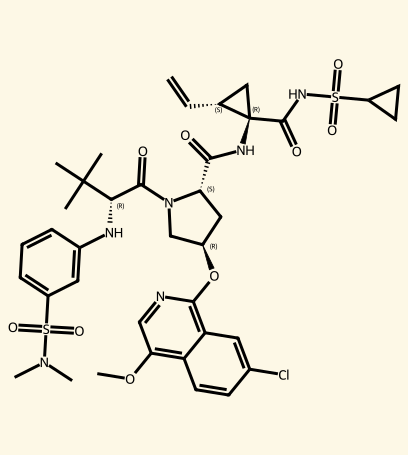 C=C[C@@H]1C[C@]1(NC(=O)[C@@H]1C[C@@H](Oc2ncc(OC)c3ccc(Cl)cc23)CN1C(=O)[C@H](Nc1cccc(S(=O)(=O)N(C)C)c1)C(C)(C)C)C(=O)NS(=O)(=O)C1CC1